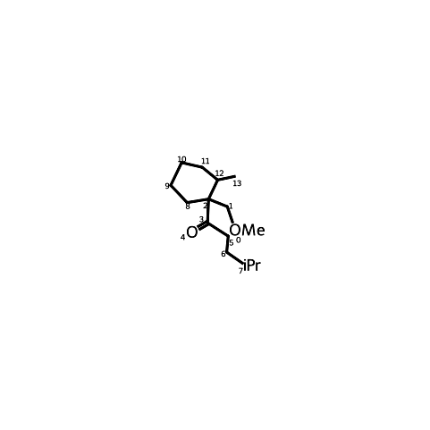 COCC1(C(=O)CCC(C)C)CCCCC1C